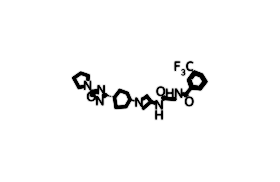 O=C(CNC(=O)c1cccc(C(F)(F)F)c1)NC1CN([C@H]2CC[C@@H](c3noc(N4CCCC4)n3)CC2)C1